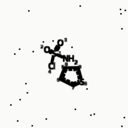 NS(=O)(=O)Cl.c1ccsc1